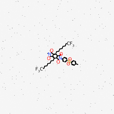 Cc1ccc(S(=O)(=O)c2ccc(-n3c(=O)c4c(CCCCCCCC(F)(F)F)c5c(=O)n(C)c(=O)c5c(CCCCCCCC(F)(F)F)c4c3=O)cc2)cc1